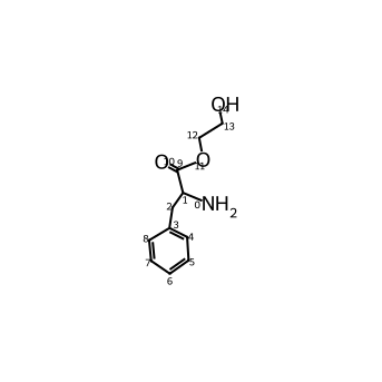 NC(Cc1ccccc1)C(=O)OCCO